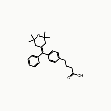 CC1(C)CC(=C(c2ccccc2)c2ccc(CCCC(=O)O)cc2)CC(C)(C)O1